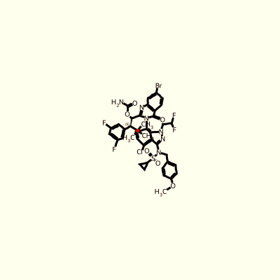 COc1ccc(CN(c2nn(CC(F)F)c3c(-n4c(C(OC(N)=O)[C@H](c5cc(F)cc(F)c5)C(C)(C)C)nc5cc(Br)ccc5c4=O)ccc(Cl)c23)S(=O)(=O)C2CC2)cc1